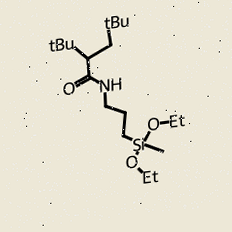 CCO[Si](C)(CCCNC(=O)C(CC(C)(C)C)C(C)(C)C)OCC